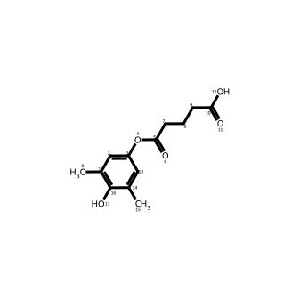 Cc1cc(OC(=O)CCCC(=O)O)cc(C)c1O